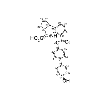 O=C(Oc1ccc(-c2ccc(O)cc2)cc1)c1cccc2c1NC(C(=O)O)C1CC=CC21